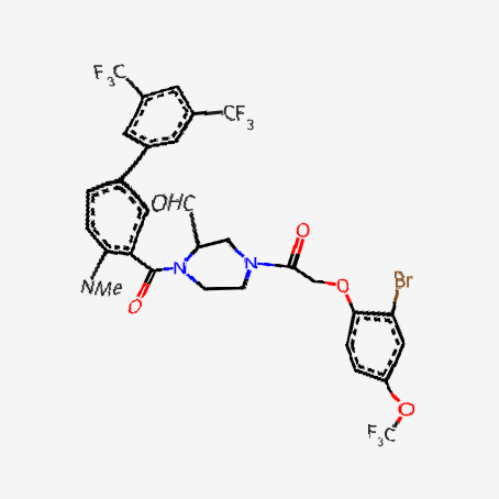 CNc1ccc(-c2cc(C(F)(F)F)cc(C(F)(F)F)c2)cc1C(=O)N1CCN(C(=O)COc2ccc(OC(F)(F)F)cc2Br)CC1C=O